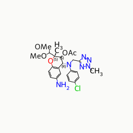 COC(OC)[C@@]1(C)Oc2ccc(N)cc2[C@@H](N(Cc2nnn(C)n2)c2ccc(Cl)cc2)[C@@H]1OC(C)=O